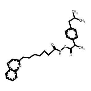 CC(C)Cc1ccc(C(C)C(=O)ONC(=O)CCCCCCc2ccc3ccccc3n2)cc1